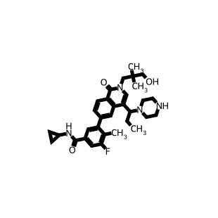 CCC(c1cn(CC(C)(C)CO)c(=O)c2ccc(-c3cc(C(=O)NC4CC4)cc(F)c3C)cc12)N1CCNCC1